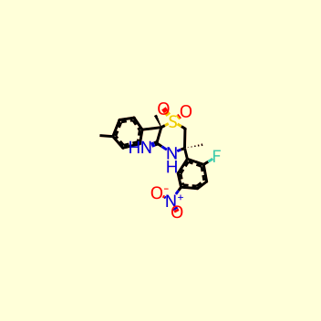 Cc1ccc([C@@]2(C)C(=N)N[C@](C)(c3cc([N+](=O)[O-])ccc3F)CS2(=O)=O)cc1